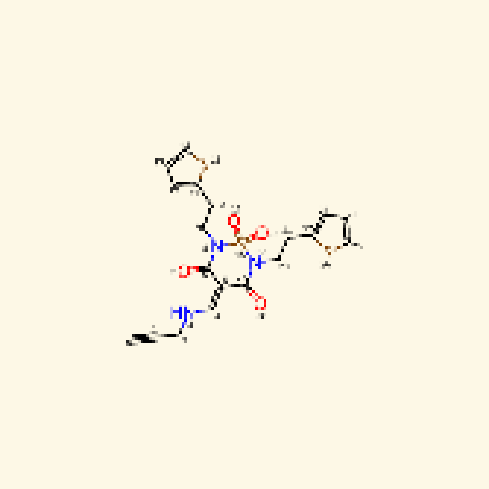 C#CCNC=C1C(=O)N(CCc2cccs2)S(=O)(=O)N(CCc2cccs2)C1=O